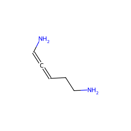 NC=C=CCCN